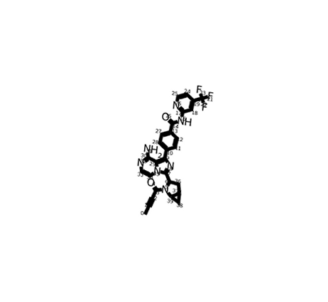 CC#CC(=O)N1C(c2nc(-c3ccc(C(=O)Nc4cc(C(F)(F)F)ccn4)cc3)c3c(N)nccn23)CC2CC21